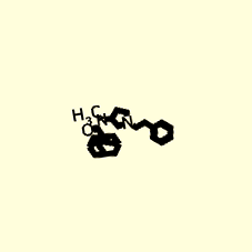 CN(C(=O)C12CC3CC(CC(C3)C1)C2)C1CCN(CCc2ccccc2)C1